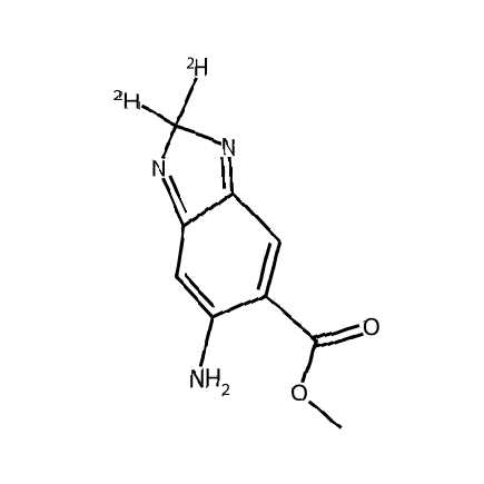 [2H]C1([2H])N=c2cc(N)c(C(=O)OC)cc2=N1